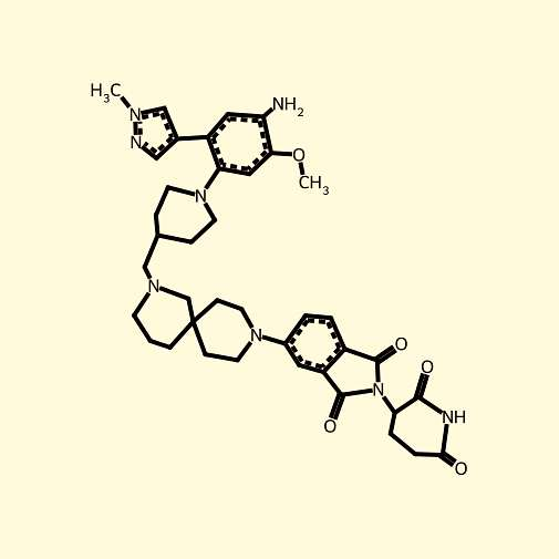 COc1cc(N2CCC(CN3CCCC4(CCN(c5ccc6c(c5)C(=O)N(C5CCC(=O)NC5=O)C6=O)CC4)C3)CC2)c(-c2cnn(C)c2)cc1N